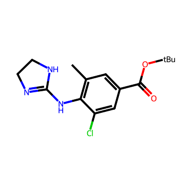 Cc1cc(C(=O)OC(C)(C)C)cc(Cl)c1NC1=NCCN1